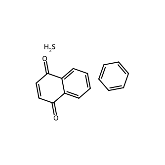 O=C1C=CC(=O)c2ccccc21.S.c1ccccc1